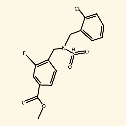 COC(=O)c1ccc(CN(Cc2ccccc2Cl)[SH](=O)=O)c(F)c1